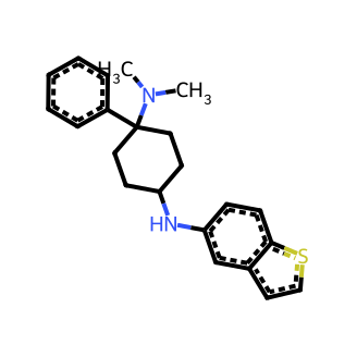 CN(C)C1(c2ccccc2)CCC(Nc2ccc3sccc3c2)CC1